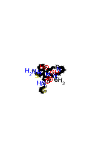 CC(C)C[C@H](O)[C@H](O)[C@H](CC1CCCCC1)N(CC(=O)N(C)CCc1ccccn1)C(=O)[C@@H](CC(=O)NCc1cccs1)Cc1csc(N)n1